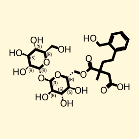 CC(CCc1ccccc1CO)(CC(=O)O)C(=O)OC[C@H]1O[C@H](O[C@H]2O[C@H](CO)[C@@H](O)[C@H](O)[C@H]2O)[C@H](O)[C@@H](O)[C@@H]1O